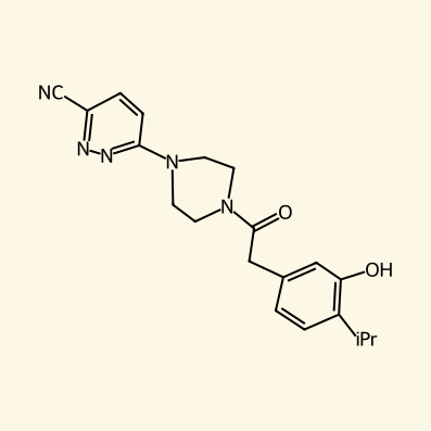 CC(C)c1ccc(CC(=O)N2CCN(c3ccc(C#N)nn3)CC2)cc1O